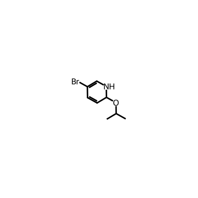 CC(C)OC1C=CC(Br)=CN1